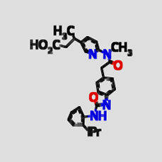 CC(C)c1ccccc1Nc1nc2ccc(CC(=O)N(C)c3ccc(C(C)CC(=O)O)cn3)cc2o1